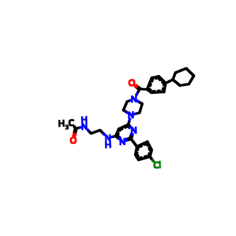 CC(=O)NCCNc1cc(N2CCN(C(=O)c3ccc(C4CCCCC4)cc3)CC2)nc(-c2ccc(Cl)cc2)n1